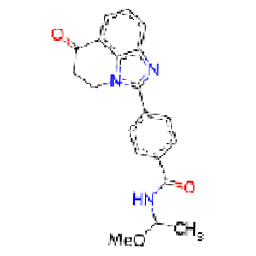 COC(C)NC(=O)c1ccc(-c2nc3cccc4c3n2CCC4=O)cc1